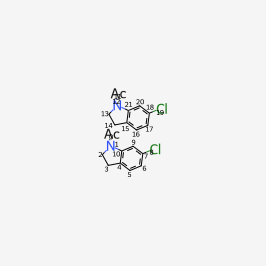 CC(=O)N1CCc2ccc(Cl)cc21.CC(=O)N1CCc2ccc(Cl)cc21